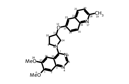 COc1cc2ncnc(N3CCC(Oc4ccc5nc(C)ccc5c4)C3)c2cc1OC